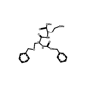 COC(=O)[C@H](CCSC)NC(=O)[C@H](COCc1ccccc1)NC(=O)OCc1ccccc1